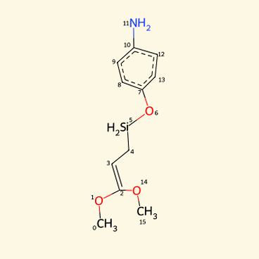 COC(=CC[SiH2]Oc1ccc(N)cc1)OC